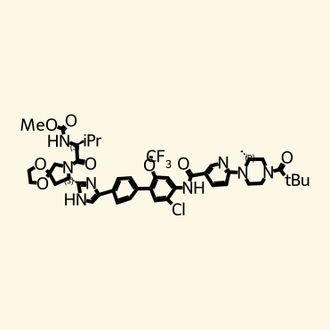 COC(=O)N[C@H](C(=O)N1CC2(C[C@H]1c1nc(-c3ccc(-c4cc(Cl)c(NC(=O)c5ccc(N6CCN(C(=O)C(C)(C)C)C[C@H]6C)nc5)cc4OC(F)(F)F)cc3)c[nH]1)OCCO2)C(C)C